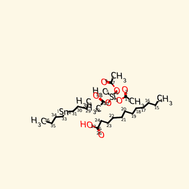 CC(=O)O[Si](C)(OC(C)=O)OC(C)=O.CCCCCCCCCCCC(=O)O.CCC[CH2][Sn][CH2]CCC